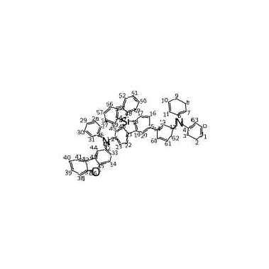 C1=CCCC(N(C2=CCCC=C2)C2C=C(c3ccc4c(c3)-c3ccc(N(c5ccccc5)c5ccc6oc7ccccc7c6c5)cc3[Si]4(c3ccccc3)c3ccccc3)C=CC2)=C1